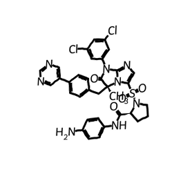 C[C@@]1(Cc2ccc(-c3cncnc3)cc2)C(=O)N(c2cc(Cl)cc(Cl)c2)c2ncc(S(=O)(=O)N3CCC[C@H]3C(=O)Nc3ccc(N)cc3)n21